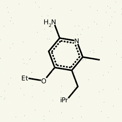 CCOc1cc(N)nc(C)c1CC(C)C